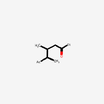 CCC(=O)CC(C)C(C)C(C)=O